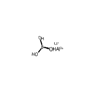 OB(O)O.[Al+3].[Li+]